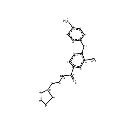 Cc1ccc(Sc2ccc(C(=O)NCCN3CCCC3)cc2[N+](=O)[O-])cc1